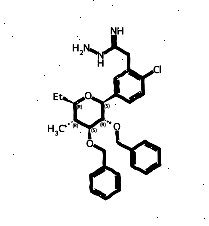 CC[C@H]1O[C@@H](c2ccc(Cl)c(CC(=N)NN)c2)[C@H](OCc2ccccc2)[C@@H](OCc2ccccc2)[C@@H]1C